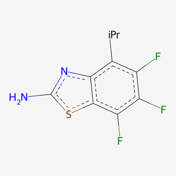 CC(C)c1c(F)c(F)c(F)c2sc(N)nc12